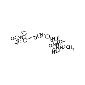 C[C@H]1C[C@H](CO)N(c2ccn3ncc(C(=O)Nc4cn([C@H]5CC[C@H](CN6CCC(OCC#Cc7cccc8c7c7cccnc7n8C7CCC(=O)NC7=O)CC6)CC5)nc4C(F)F)c3n2)C1